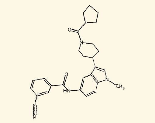 Cn1cc(C2CCN(C(=O)C3CCCC3)CC2)c2cc(NC(=O)c3cccc(C#N)c3)ccc21